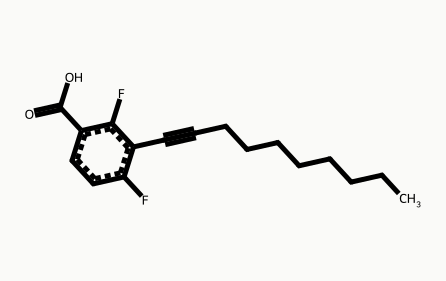 CCCCCCCCC#Cc1c(F)ccc(C(=O)O)c1F